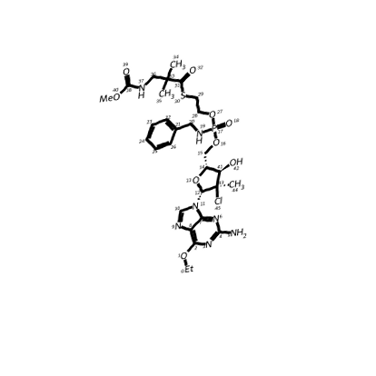 CCOc1nc(N)nc2c1ncn2[C@@H]1O[C@H](COP(=O)(NCc2ccccc2)OCCSC(=O)C(C)(C)CNC(=O)OC)[C@@H](O)[C@@]1(C)Cl